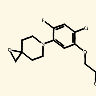 CCCOc1cc(N2CCC3(CC2)CO3)c(F)cc1Cl